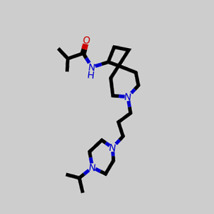 CC(C)C(=O)NC1CCC12CCN(CCCN1CCN(C(C)C)CC1)CC2